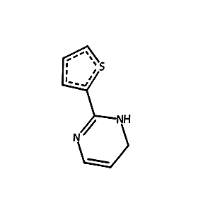 C1=CN=C(c2cccs2)NC1